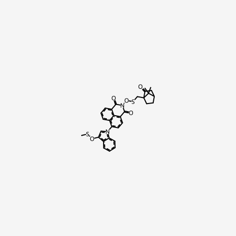 CSOc1cn(-c2ccc3c4c(cccc24)C(=O)N(OSCC24CCC(CC2=O)C4(C)C)C3=O)c2ccccc12